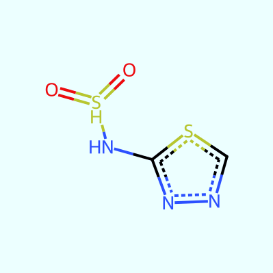 O=[SH](=O)Nc1nncs1